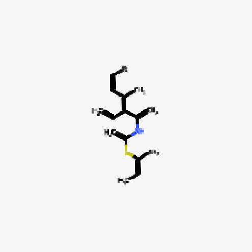 C=C/C(C(=C)NC(=C)S/C(C)=C\C)=C(C)\C=C/CC